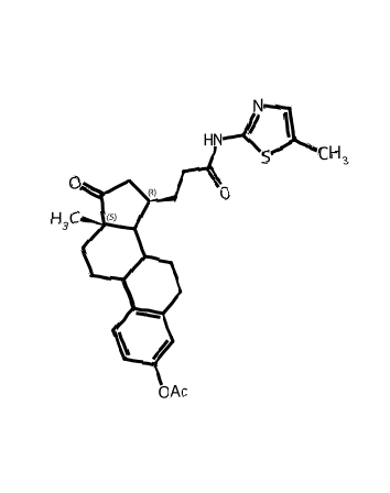 CC(=O)Oc1ccc2c(c1)CCC1C2CC[C@]2(C)C(=O)C[C@@H](CCC(=O)Nc3ncc(C)s3)C12